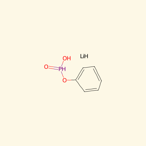 O=[PH](O)Oc1ccccc1.[LiH]